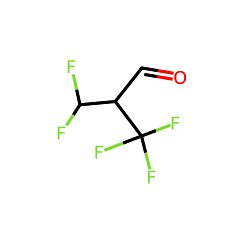 O=CC(C(F)F)C(F)(F)F